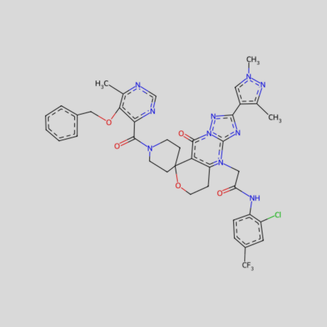 Cc1nn(C)cc1-c1nc2n(CC(=O)Nc3ccc(C(F)(F)F)cc3Cl)c3c(c(=O)n2n1)C1(CCN(C(=O)c2ncnc(C)c2OCc2ccccc2)CC1)OCC3